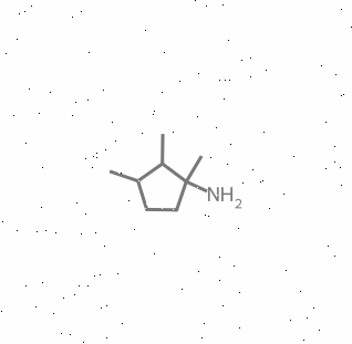 CC1CCC(C)(N)C1C